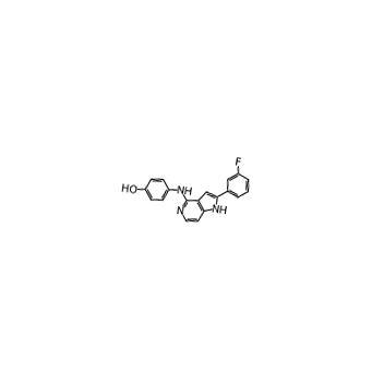 Oc1ccc(Nc2nccc3[nH]c(-c4cccc(F)c4)cc23)cc1